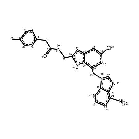 Cc1ccc(CC(=O)NCc2cc3cc(Cl)cc(Cn4cnc5c(N)ncnc54)c3[nH]2)cc1